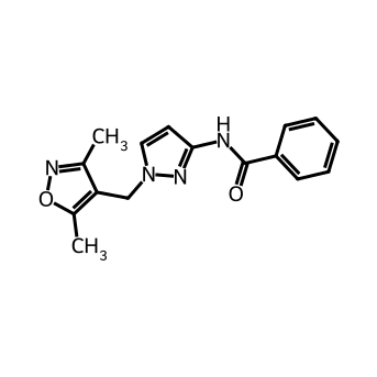 Cc1noc(C)c1Cn1ccc(NC(=O)c2ccccc2)n1